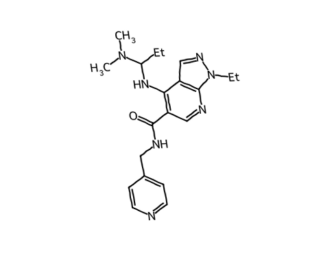 CCC(Nc1c(C(=O)NCc2ccncc2)cnc2c1cnn2CC)N(C)C